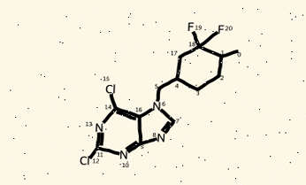 CC1CCC(Cn2cnc3nc(Cl)nc(Cl)c32)CC1(F)F